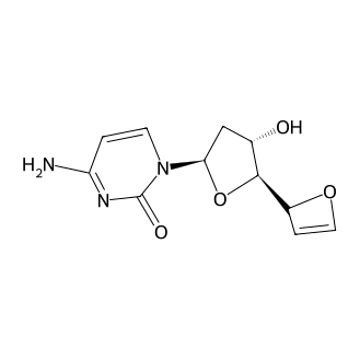 Nc1ccn([C@H]2C[C@H](O)[C@@H](C3C=CO3)O2)c(=O)n1